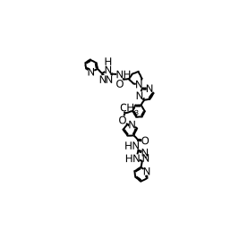 CC(Oc1ccc(C(=O)Nc2nnc(-c3ccccn3)[nH]2)cn1)c1cccc(-c2ccnc(N3CCCC(C(=O)Nc4nnc(-c5ccccn5)[nH]4)C3)n2)c1